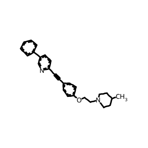 CC1CCN(CCOc2ccc(C#Cc3ccc(-c4ccccc4)cn3)cc2)CC1